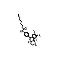 CCCCCCCCC(=O)Nc1ccc(C2=N[C@@H]3CCN(C)C[C@@H]3c3cc(OC)c(OC)cc32)cc1